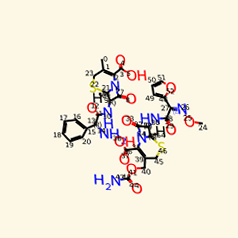 CC1=C(C(=O)O)N2C(=O)[C@@H](NC(=O)[C@H](N)c3ccccc3)[C@H]2SC1.CO/N=C(\C(=O)N[C@@H]1C(=O)N2C(C(=O)O)=C(COC(N)=O)CS[C@@H]12)c1ccco1